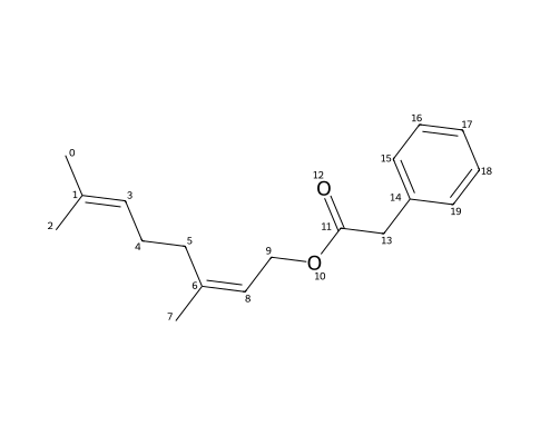 CC(C)=CCCC(C)=CCOC(=O)Cc1ccccc1